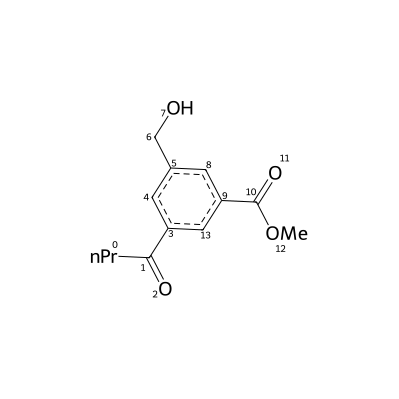 CCCC(=O)c1cc(CO)cc(C(=O)OC)c1